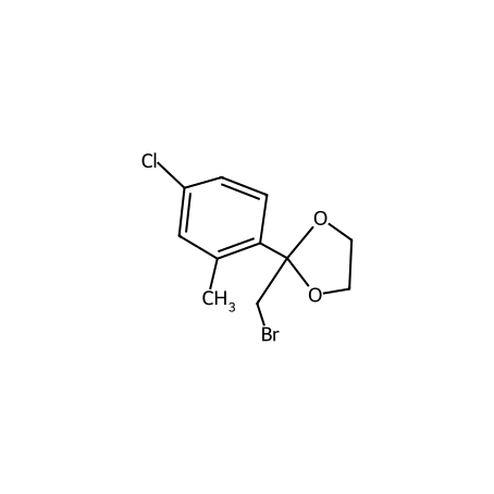 Cc1cc(Cl)ccc1C1(CBr)OCCO1